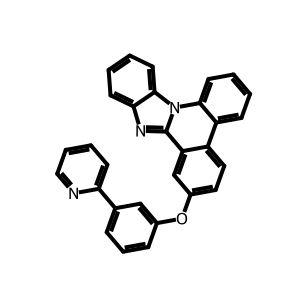 c1ccc(-c2cccc(Oc3ccc4c5ccccc5n5c6ccccc6nc5c4c3)c2)nc1